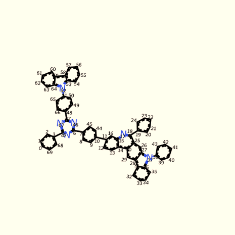 c1ccc(-c2nc(-c3ccc(-c4ccc5c(c4)nc(-c4ccccc4)c4cc6c(cc45)c4ccccc4n6-c4ccccc4)cc3)nc(-c3ccc(-n4c5ccccc5c5ccccc54)cc3)n2)cc1